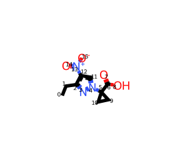 CCc1nn(C2(C(=O)O)CC2)cc1[N+](=O)[O-]